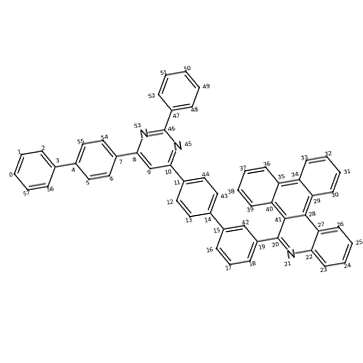 c1ccc(-c2ccc(-c3cc(-c4ccc(-c5cccc(-c6nc7ccccc7c7c8ccccc8c8ccccc8c67)c5)cc4)nc(-c4ccccc4)n3)cc2)cc1